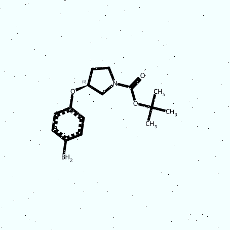 Bc1ccc(O[C@H]2CCN(C(=O)OC(C)(C)C)C2)cc1